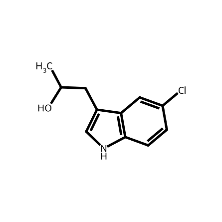 CC(O)Cc1c[nH]c2ccc(Cl)cc12